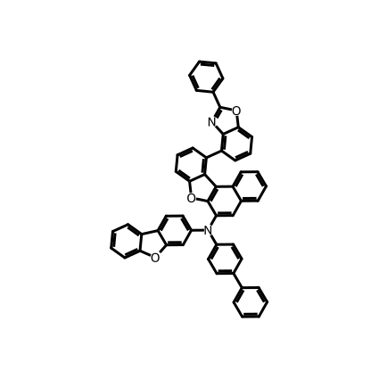 c1ccc(-c2ccc(N(c3ccc4c(c3)oc3ccccc34)c3cc4ccccc4c4c3oc3cccc(-c5cccc6oc(-c7ccccc7)nc56)c34)cc2)cc1